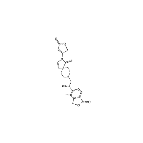 Cc1c([C@@H](O)CN2CCC3(C=CN(C4=CC(=O)OC4)C3=O)CC2)ccc2c1COC2=O